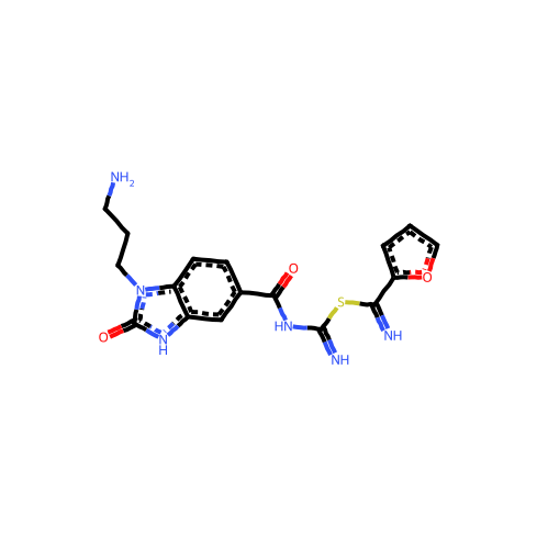 N=C(NC(=O)c1ccc2c(c1)[nH]c(=O)n2CCCN)SC(=N)c1ccco1